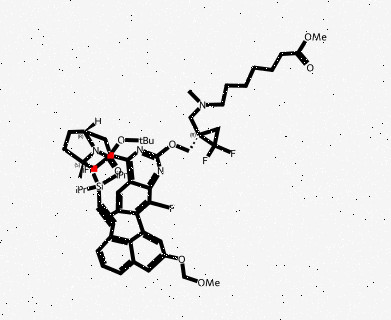 COCOc1cc(-c2c(F)cc3c(N4C[C@H]5CC[C@@](C)(C4)N5C(=O)OC(C)(C)C)nc(OC[C@]4(CN(C)CCCCCCC(=O)OC)CC4(F)F)nc3c2F)c2c(C#C[Si](C(C)C)(C(C)C)C(C)C)cccc2c1